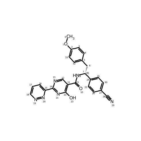 COc1ccc(C[C@@H](NC(=O)c2cnc(-c3cccnn3)nc2O)c2ccc(C#N)cc2)cc1